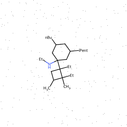 CCCCC1CC(C(C)CCC)CC(NCC)(C2(CC)CC(C)C2(C)CC)C1